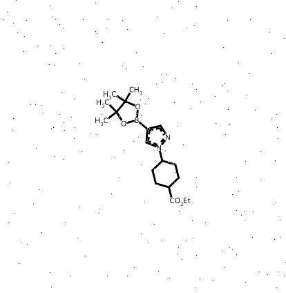 CCOC(=O)C1CCC(n2cc(B3OC(C)(C)C(C)(C)O3)cn2)CC1